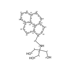 OCC(CO)(CO)NCc1ccc2ccc3cccc4ccc1c2c34